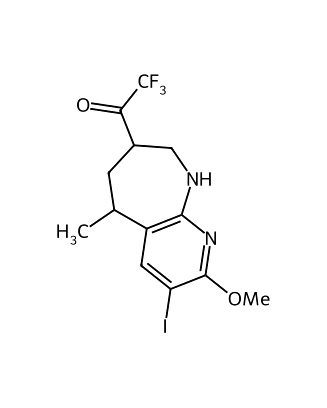 COc1nc2c(cc1I)C(C)CC(C(=O)C(F)(F)F)CN2